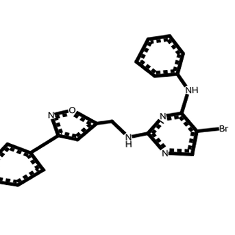 Brc1cnc(NCc2cc(-c3ccccc3)no2)nc1Nc1ccccc1